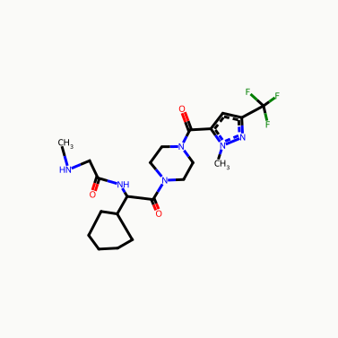 CNCC(=O)NC(C(=O)N1CCN(C(=O)c2cc(C(F)(F)F)nn2C)CC1)C1CCCCC1